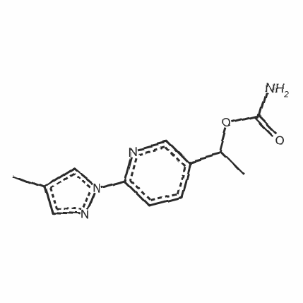 Cc1cnn(-c2ccc(C(C)OC(N)=O)cn2)c1